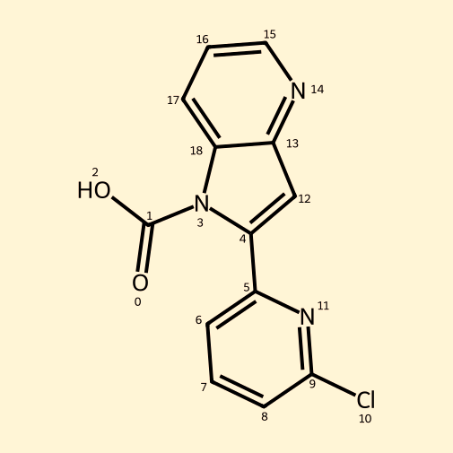 O=C(O)n1c(-c2cccc(Cl)n2)cc2ncccc21